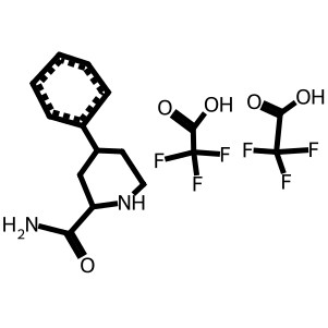 NC(=O)C1CC(c2ccccc2)CCN1.O=C(O)C(F)(F)F.O=C(O)C(F)(F)F